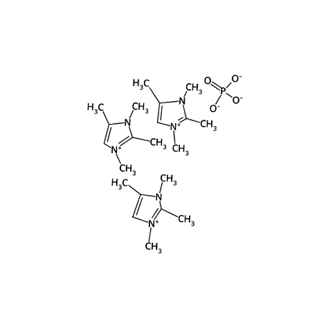 Cc1c[n+](C)c(C)n1C.Cc1c[n+](C)c(C)n1C.Cc1c[n+](C)c(C)n1C.O=P([O-])([O-])[O-]